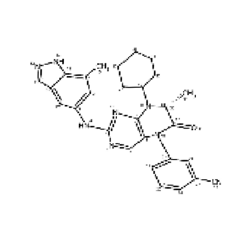 Cc1cc(Nc2ncc3c(n2)N(C2CCCCC2)[C@H](C)C(=O)N3c2cccc(C#N)c2)cc2cn[nH]c12